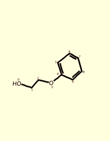 OCCOc1c[c]ccc1